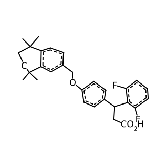 CC1(C)CCC(C)(C)c2cc(COc3ccc(C(CC(=O)O)c4c(F)cccc4F)cc3)ccc21